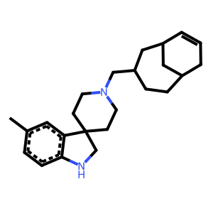 Cc1ccc2c(c1)C1(CCN(CC3CCC4CC=CC(C4)C3)CC1)CN2